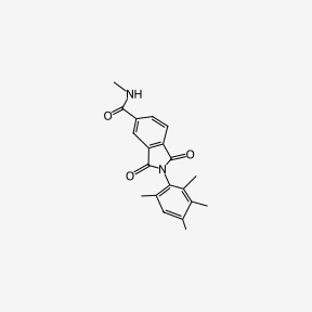 CNC(=O)c1ccc2c(c1)C(=O)N(c1c(C)cc(C)c(C)c1C)C2=O